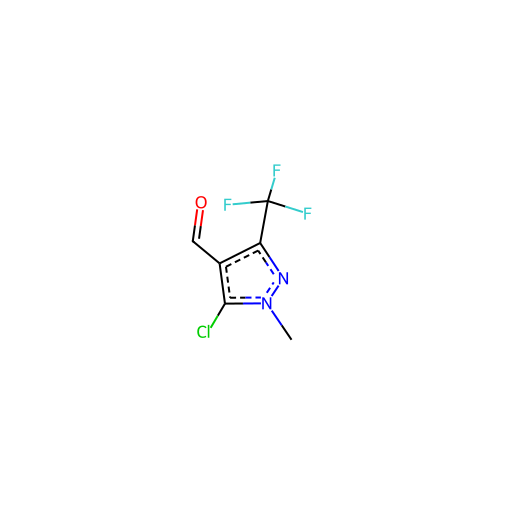 Cn1nc(C(F)(F)F)c(C=O)c1Cl